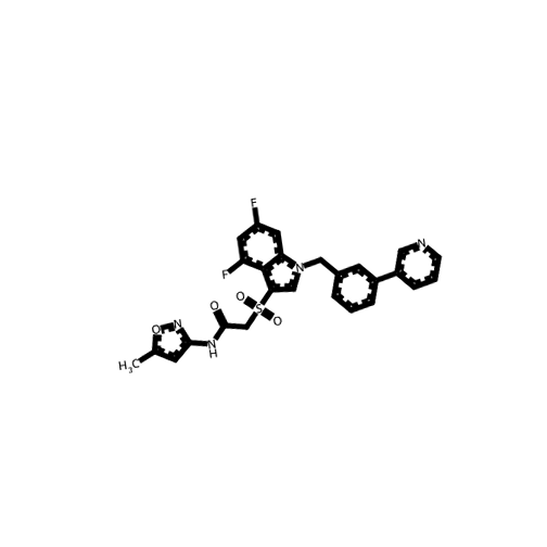 Cc1cc(NC(=O)CS(=O)(=O)c2cn(Cc3cccc(-c4cccnc4)c3)c3cc(F)cc(F)c23)no1